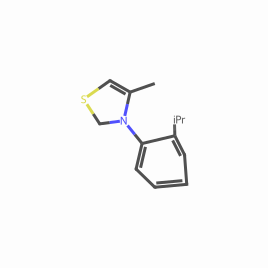 CC1=CSCN1c1ccccc1C(C)C